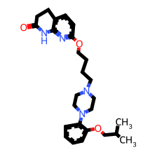 CC(C)COc1ccccc1N1CCN(CCCCOc2ccc3c(n2)NC(=O)CC3)CC1